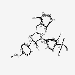 COCc1ccc([C@@H](NC(=O)Cn2c(=O)cc[nH]c2=O)C(=O)Nc2ccc(S(C)(C)C)c(F)c2)cc1